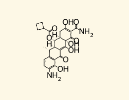 C[C@H]1c2ccc(N)c(O)c2C(=O)C2=C(O)[C@]3(O)C(=O)C(C(N)=O)=C(O)C[C@@H]3[C@@H](OC(=O)C3CCC3)[C@@H]21